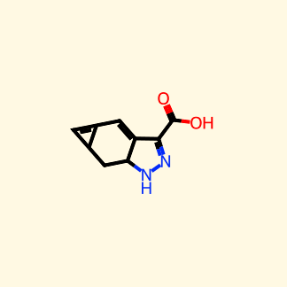 O=C(O)C1=NNC2CC3C=C3C=C12